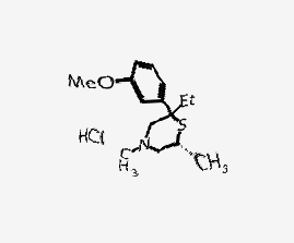 CCC1(c2cccc(OC)c2)CN(C)C[C@@H](C)S1.Cl